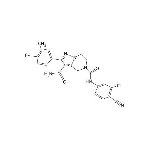 Cc1cc(-c2nn3c(c2C(N)=O)CN(C(=O)Nc2ccc(C#N)c(Cl)c2)CC3)ccc1F